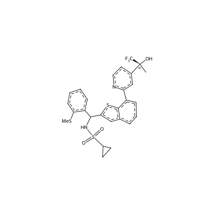 CSc1ccccc1C(NS(=O)(=O)C1CC1)c1cc2cccc(-c3cc([C@@](C)(O)C(F)(F)F)ccn3)c2s1